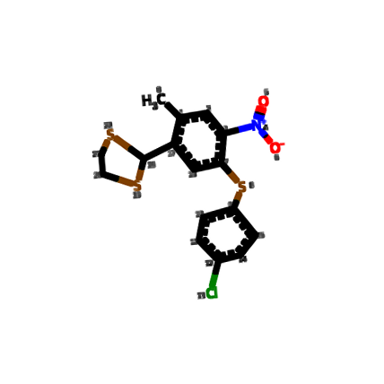 Cc1cc([N+](=O)[O-])c(Sc2ccc(Cl)cc2)cc1C1SCCS1